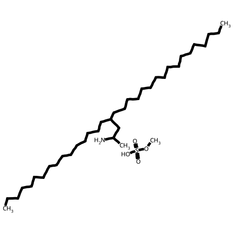 CCCCCCCCCCCCCCCCCC(CCCCCCCCCCCCCCCC)CC(C)N.COS(=O)(=O)O